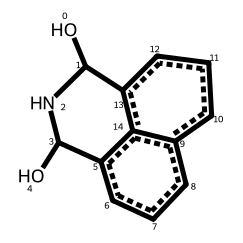 OC1NC(O)c2cccc3cccc1c23